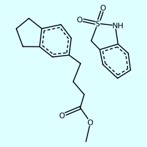 COC(=O)CCCc1ccc2c(c1)CCC2.O=S1(=O)Cc2ccccc2N1